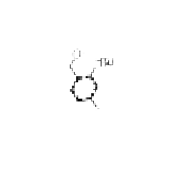 Cc1ccc(C[O])c(C(C)(C)C)c1